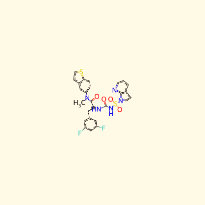 CN(C(=O)[C@H](Cc1cc(F)cc(F)c1)NC(=O)NS(=O)(=O)n1ccc2cccnc21)c1ccc2sccc2c1